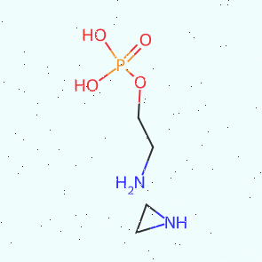 C1CN1.NCCOP(=O)(O)O